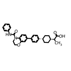 CC(C(=O)O)[C@H]1CC[C@H](c2ccc(-c3ccc4c(c3)OCCN4C(=O)Nc3ccccc3)cc2)CC1